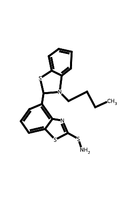 CCCCN1c2ccccc2SC1c1cccc2sc(SN)nc12